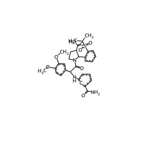 COc1ccc(C(Nc2cccc(C(N)=O)c2)C(=O)N2CCC(C(=O)O)C2c2ccccc2S(=O)(=O)C(C)C)cc1OC